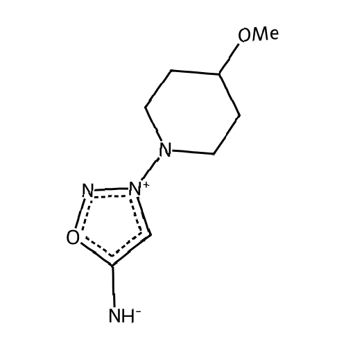 COC1CCN([n+]2cc([NH-])on2)CC1